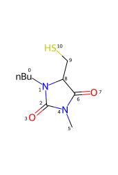 CCCCN1C(=O)N(C)C(=O)C1CS